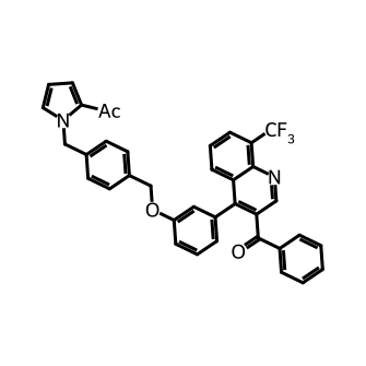 CC(=O)c1cccn1Cc1ccc(COc2cccc(-c3c(C(=O)c4ccccc4)cnc4c(C(F)(F)F)cccc34)c2)cc1